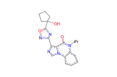 CC(C)n1c(=O)c2c(-c3noc(C4(O)CCCC4)n3)ncn2c2ccccc21